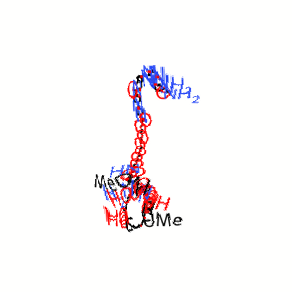 CO[C@H]1C[C@@H]2CC[C@@H](C)[C@@](O)(O2)C(=O)C(=O)N2CCCC[C@H]2C(=O)O[C@H]([C@H](N)C[C@@H]2CC[C@@H](OC(=O)NCCOCCOCCOCCOCCOCCOCCC(=O)N3CCC(N4CCC(C(=O)N5CCc6cc(Cn7nc(-c8ccc9oc(N)nc9c8)c8c(N)ncnc87)ccc6C5)CC4)CC3)[C@H](OC)C2)C[C@@H](O)[C@H](C)/C=C(\C)[C@@H](O)[C@@H](O)C(=O)[C@H](C)C[C@H](C)/C=C/C=C/C=C/1C